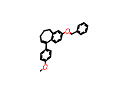 COc1ccc(C2=CCCCc3cc(OCc4ccccc4)ccc32)cc1